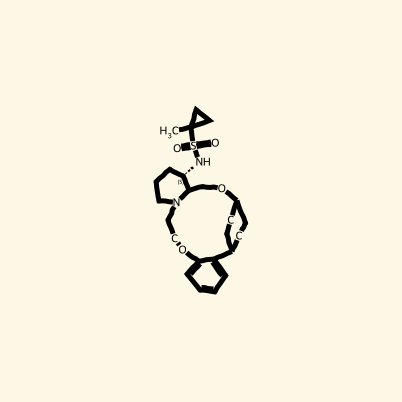 CC1(S(=O)(=O)N[C@H]2CCCN3CCOc4ccccc4C4CCC(CC4)OCC23)CC1